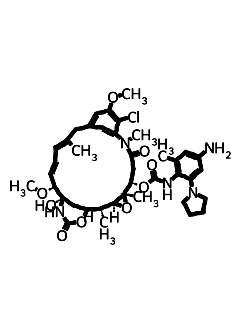 COc1cc2cc(c1Cl)N(C)C(=O)C[C@H](OC(=O)Nc1c(C)cc(N)cc1N1CCCC1)[C@]1(C)O[C@H]1[C@H](C)[C@@H]1C[C@@](O)(NC(=O)O1)[C@H](OC)/C=C/C=C(\C)C2